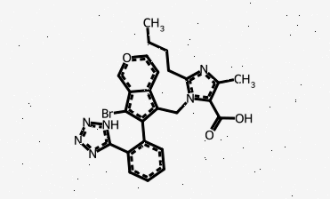 CCCCc1nc(C)c(C(=O)O)n1Cc1c2ccocc-2c(Br)c1-c1ccccc1-c1nnn[nH]1